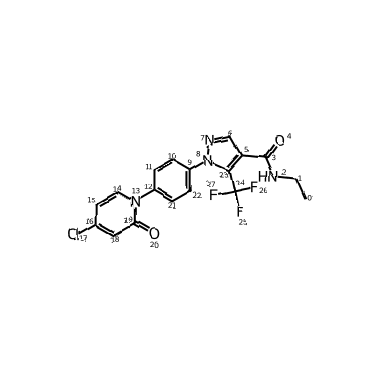 CCNC(=O)c1cnn(-c2ccc(-n3ccc(Cl)cc3=O)cc2)c1C(F)(F)F